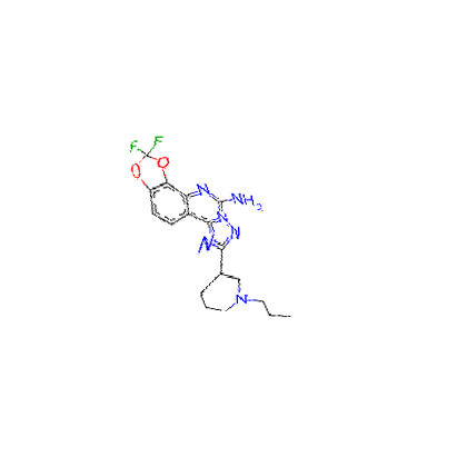 CCCN1CCCC(c2nc3c4ccc5c(c4nc(N)n3n2)OC(F)(F)O5)C1